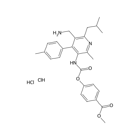 COC(=O)c1ccc(OC(=O)Nc2c(C)nc(CC(C)C)c(CN)c2-c2ccc(C)cc2)cc1.Cl.Cl